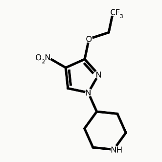 O=[N+]([O-])c1cn(C2CCNCC2)nc1OCC(F)(F)F